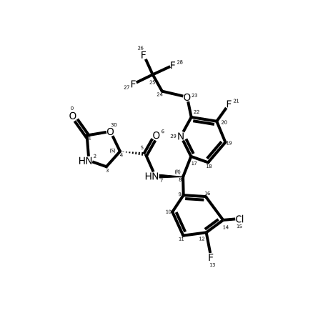 O=C1NC[C@@H](C(=O)N[C@H](c2ccc(F)c(Cl)c2)c2ccc(F)c(OCC(F)(F)F)n2)O1